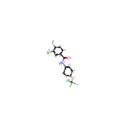 O=C(Nc1ccc(OC(F)(F)Cl)cc1)c1ccc(F)c(Br)c1